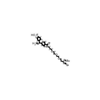 CC(C)(C)OC(CCOCCOCCOCCCNC(=O)c1ccc(C(=NN)c2ccc(C(=O)O)cc2)nc1)N=C=O